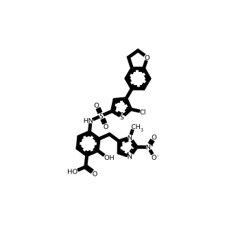 Cn1c(Cc2c(NS(=O)(=O)c3cc(-c4ccc5c(c4)CCO5)c(Cl)s3)ccc(C(=O)O)c2O)cnc1[N+](=O)[O-]